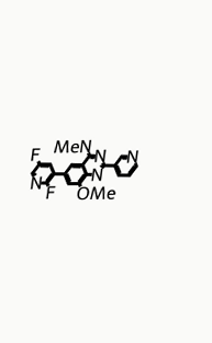 CNc1nc(-c2cccnc2)nc2c(OC)cc(-c3cc(F)cnc3F)cc12